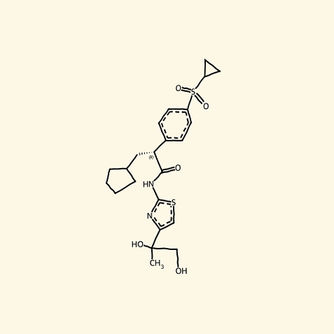 CC(O)(CO)c1csc(NC(=O)[C@H](CC2CCCC2)c2ccc(S(=O)(=O)C3CC3)cc2)n1